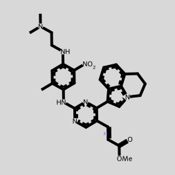 COC(=O)/C=C/c1cnc(Nc2cc([N+](=O)[O-])c(NCCN(C)C)cc2C)nc1-c1cn2c3c(cccc13)CCC2